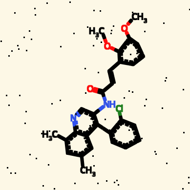 COc1cccc(C=CC(=O)Nc2cnc3c(C)cc(C)cc3c2-c2ccccc2Cl)c1OC